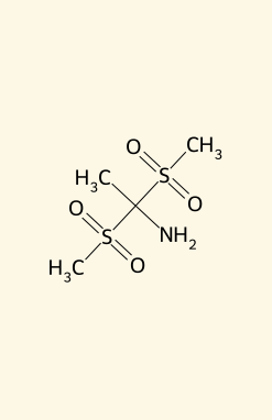 CC(N)(S(C)(=O)=O)S(C)(=O)=O